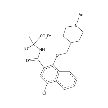 CCOC(=O)C(C)(CC)NC(=O)c1cc(Cl)c2ccccc2c1OCC1CCN(C(C)=O)CC1